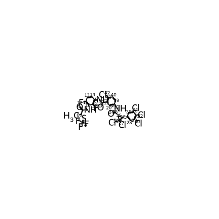 CC(SC(F)(F)F)C(=O)Nc1c(F)ccc(NC(=O)c2cc(NC(=O)[C@H]3[C@H](c4cc(Cl)c(Cl)c(Cl)c4)C3(Cl)Cl)ccc2Cl)c1F